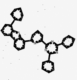 c1ccc(-c2nc(-c3ccccc3)nc(-c3cccc(-c4cccc5c4sc4c(-c6ccccc6)cccc45)n3)n2)cc1